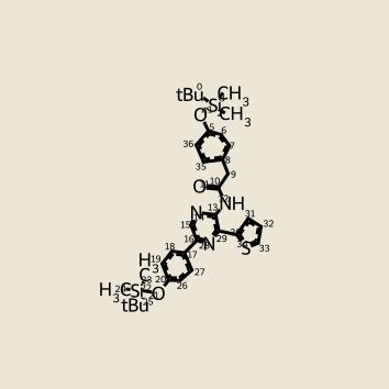 CC(C)(C)[Si](C)(C)Oc1ccc(CC(=O)Nc2ncc(-c3ccc(O[Si](C)(C)C(C)(C)C)cc3)nc2-c2cccs2)cc1